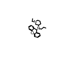 CCCN(C1CCCN(CC)C1)C1c2ccccc2Oc2ccccc21